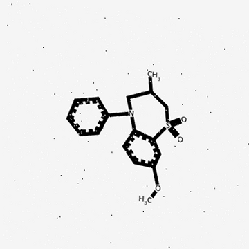 COc1ccc2c(c1)S(=O)(=O)CC(C)CN2c1ccccc1